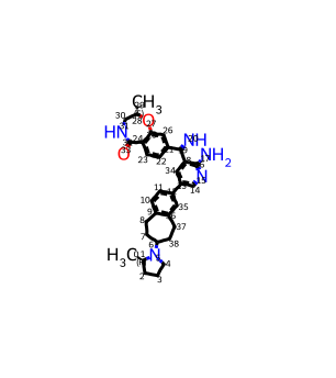 C[C@@H]1CCCN1C1CCc2ccc(-c3cnc(N)c(C(=N)c4ccc5c(c4)O[C@@H](C)CNC5=O)c3)cc2CC1